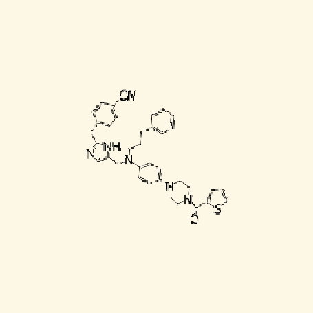 N#Cc1ccc(Cc2ncc(CN(CCCc3ccccc3)c3ccc(N4CCN(C(=O)c5cccs5)CC4)cc3)[nH]2)cc1